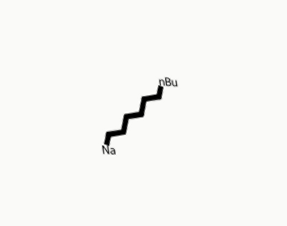 CCCCCCCCC[CH2][Na]